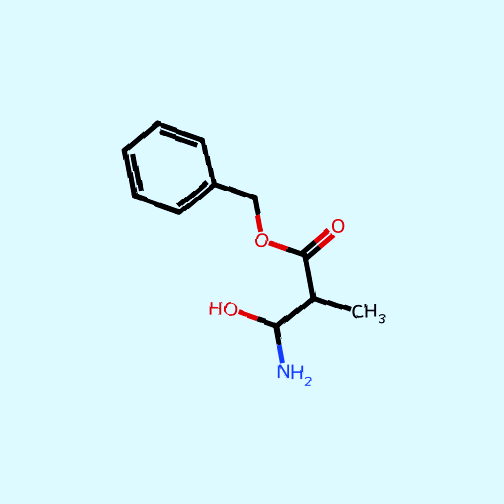 CC(C(=O)OCc1ccccc1)C(N)O